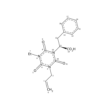 C=CCn1c(=O)n(CC)c(=O)n([C@@H](Cc2ccccc2)C(=O)O)c1=O